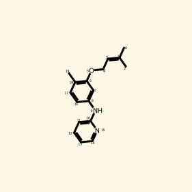 CC(C)=CCOc1cc(Nc2ccccn2)ccc1C